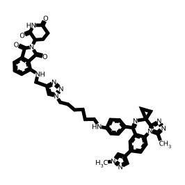 Cc1nnc2n1-c1ccc(-c3cnn(C)c3)cc1C(c1ccc(NCCCCCCn3cc(CNc4cccc5c4C(=O)N(C4CCC(=O)NC4=O)C5=O)nn3)cc1)=NC21CC1